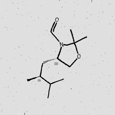 CC(C)[C@@H](C)C[C@H]1COC(C)(C)N1C=O